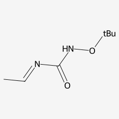 CC=NC(=O)NOC(C)(C)C